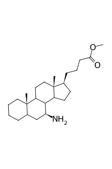 COC(=O)CCC[C@H]1CCC2C3C(CC[C@@]21C)[C@@]1(C)CCCCC1C[C@@H]3N